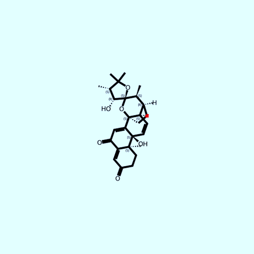 C[C@H]1[C@@H](O)[C@@]2(OC1(C)C)O[C@@]13CC[C@H]([C@@H]2C)[C@@]1(C)C=C[C@@]1(O)C3=CC(=O)C2=CC(=O)CC[C@@]21C